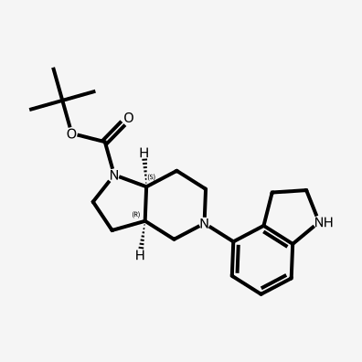 CC(C)(C)OC(=O)N1CC[C@@H]2CN(c3cccc4c3CCN4)CC[C@@H]21